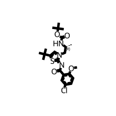 COc1ccc(Cl)cc1C(=O)N=c1sc(C(C)(C)C)cn1C[C@@H](C)NC(=O)OC(C)(C)C